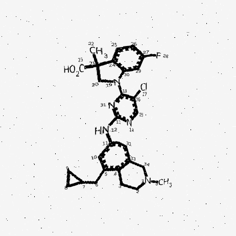 CN1CCc2c(CC3CC3)cc(Nc3ncc(Cl)c(N4CC(C)(C(=O)O)c5ccc(F)cc54)n3)cc2C1